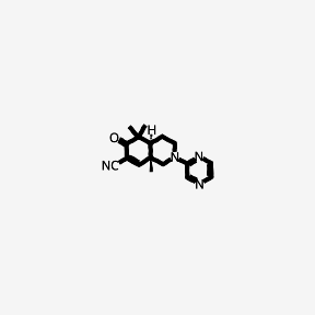 CC1(C)C(=O)C(C#N)=C[C@@]2(C)CN(c3cnccn3)CC[C@H]12